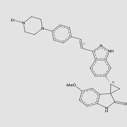 CCN1CCN(c2ccc(/C=C/c3n[nH]c4cc([C@@H]5CC56C(=O)Nc5ccc(OC)cc56)ccc34)cc2)CC1